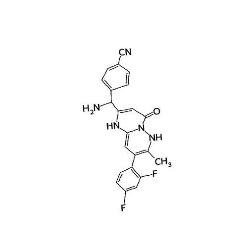 CC1=C(c2ccc(F)cc2F)C=C2NC(C(N)c3ccc(C#N)cc3)=CC(=O)N2N1